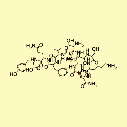 CC(C)[C@H](NC(=O)[C@H](C)NC(=O)[C@H](Cc1c[nH]cn1)NC(=O)[C@H](CCC(N)=O)NC(=O)[C@H](CCCCN)NC(=O)[C@H](CO)NC(=O)[C@H](CS)NC(=O)[C@@H](N)CO)C(=O)N[C@@H](Cc1ccccc1)C(=O)N[C@@H](CCC(N)=O)C(=O)N[C@@H](Cc1ccc(O)cc1)C(=O)O